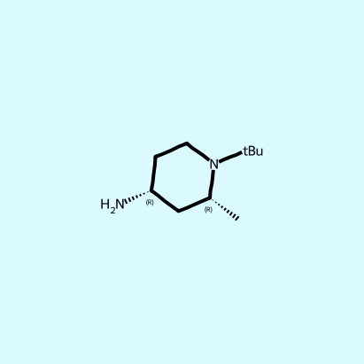 C[C@@H]1C[C@H](N)CCN1C(C)(C)C